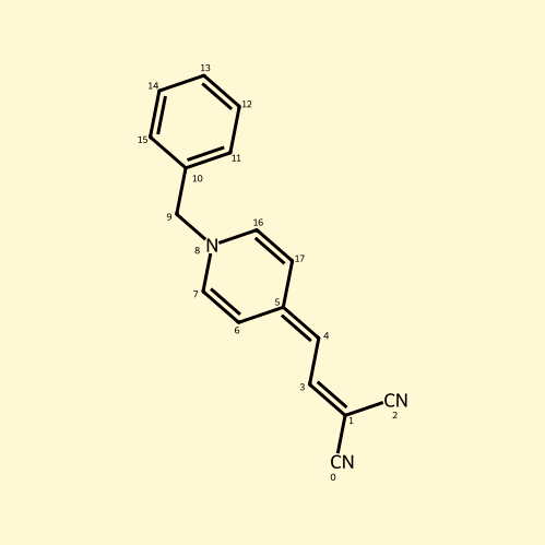 N#CC(C#N)=CC=C1C=CN(Cc2ccccc2)C=C1